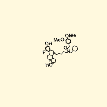 COc1ccc(CC(=O)N(CCCCC[C@@H]2Cc3cc(O)cc(F)c3C3CC[C@@]4(C)C(CC[C@@H]4O)C32)CC2CCCCC2)cc1OC